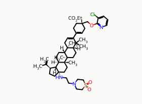 C=C(C)[C@@H]1CC[C@]2(NCCN3CCS(=O)(=O)CC3)CC[C@]3(C)[C@H](CC[C@@H]4[C@@]5(C)CC=C(C6=CC[C@](COc7ncccc7Cl)(C(=O)OCC)CC6)C(C)(C)[C@@H]5CC[C@]43C)[C@@H]12